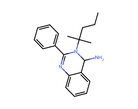 CCCC(C)(C)N1C(c2ccccc2)=Nc2ccccc2C1N